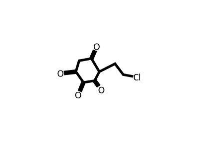 O=C1CC(=O)C(CCCl)C(=O)C1=O